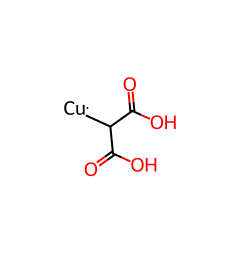 CC(C(=O)O)C(=O)O.[Cu]